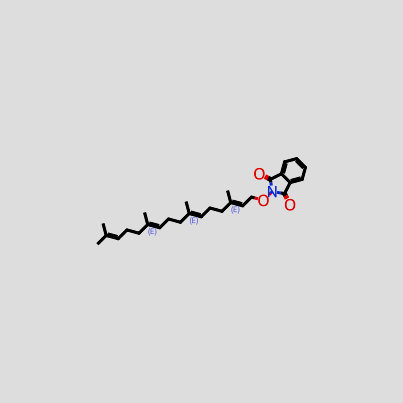 CC(C)=CCC/C(C)=C/CC/C(C)=C/CC/C(C)=C/CON1C(=O)c2ccccc2C1=O